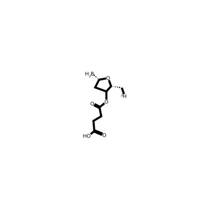 [2H]C[C@H]1O[C@@H](B)CC1OC(=O)CCC(=O)O